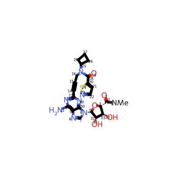 CNC(=O)[C@H]1O[C@@H](n2cnc3c(N)nc(C#CCN(C(=O)c4ccns4)C4CCC4)nc32)[C@H](O)[C@@H]1O